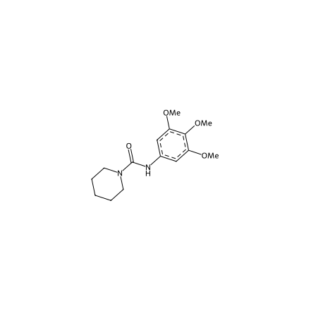 COc1cc(NC(=O)N2CCCCC2)cc(OC)c1OC